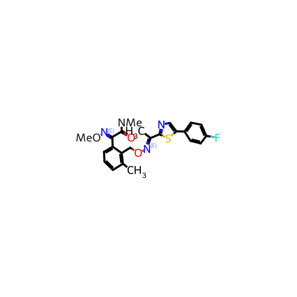 CNC(=O)/C(=N/OC)c1cccc(C)c1CO/N=C(\C)c1ncc(-c2ccc(F)cc2)s1